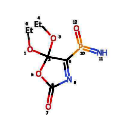 CCOC1(OCC)OC(=O)N=C1P(=N)=O